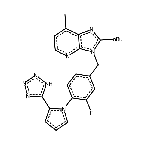 CCCCc1nc2c(C)ccnc2n1Cc1ccc(-n2cccc2-c2nnn[nH]2)c(F)c1